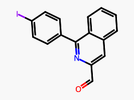 O=Cc1cc2ccccc2c(-c2ccc(I)cc2)n1